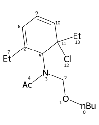 CCCCOCN(C(C)=O)C1C(CC)=CC=CC1(Cl)CC